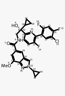 COc1cc(C(=O)NC[C@](O)(c2ccc(F)c(-c3cc(Cl)c(F)cc3F)n2)C2CC2)cc2cn(C3CC3)nc12